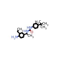 C=Cc1cc(C(C)NC(=O)Nc2ccc(C(C)(C)C)cc2)ccc1N